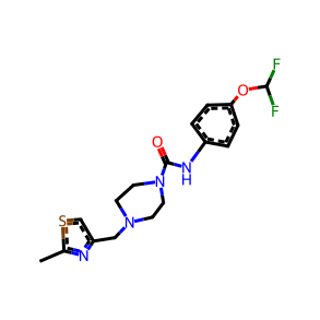 Cc1nc(CN2CCN(C(=O)Nc3ccc(OC(F)F)cc3)CC2)cs1